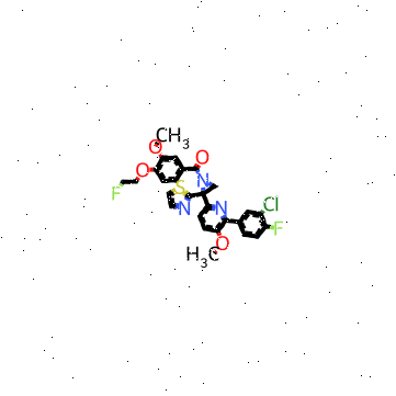 COc1cc(C(=O)N2CC2(c2ccc(OC)c(-c3ccc(F)c(Cl)c3)n2)c2nccs2)ccc1OCCF